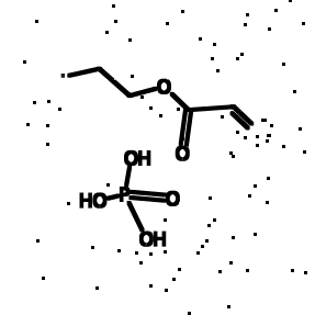 O=P(O)(O)O.[CH2]CCOC(=O)C=C